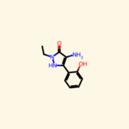 CCn1[nH]c(-c2ccccc2O)c(N)c1=O